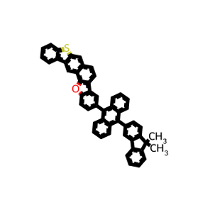 CC1(C)c2ccccc2-c2cc(-c3c4ccccc4c(-c4ccc5oc6c7cc8c(cc7ccc6c5c4)sc4ccccc48)c4ccccc34)ccc21